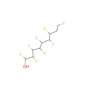 OC(F)C(F)C(F)C(F)C(F)C(F)C(F)CCF